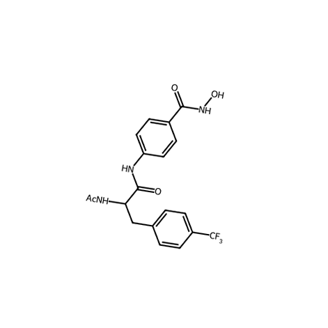 CC(=O)NC(Cc1ccc(C(F)(F)F)cc1)C(=O)Nc1ccc(C(=O)NO)cc1